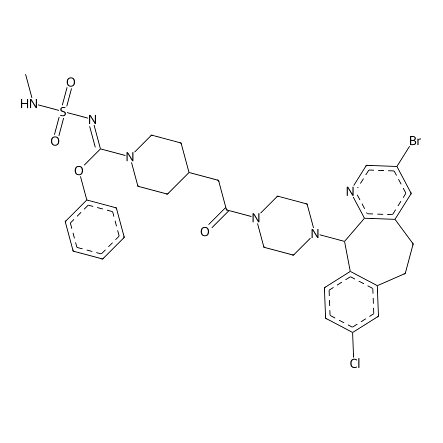 CNS(=O)(=O)N=C(Oc1ccccc1)N1CCC(CC(=O)N2CCN(C3c4ccc(Cl)cc4CCc4cc(Br)cnc43)CC2)CC1